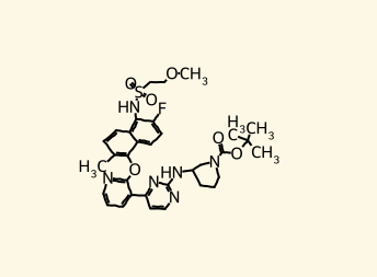 COCCS(=O)(=O)Nc1c(F)ccc2c(Oc3ncccc3-c3ccnc(NC4CCCN(C(=O)OC(C)(C)C)C4)n3)c(C)ccc12